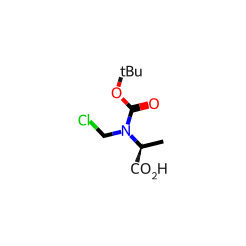 C[C@@H](C(=O)O)N(CCl)C(=O)OC(C)(C)C